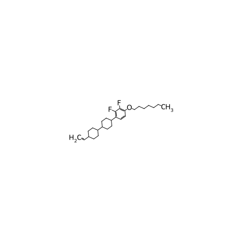 C=CC1CCC(C2CCC(c3ccc(OCCCCCCC)c(F)c3F)CC2)CC1